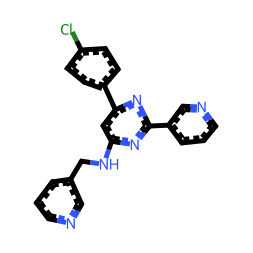 Clc1ccc(-c2cc(NCc3cccnc3)nc(-c3cccnc3)n2)cc1